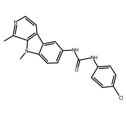 Cc1nccc2c3cc(NC(=O)Nc4ccc(Cl)cc4)ccc3n(C)c12